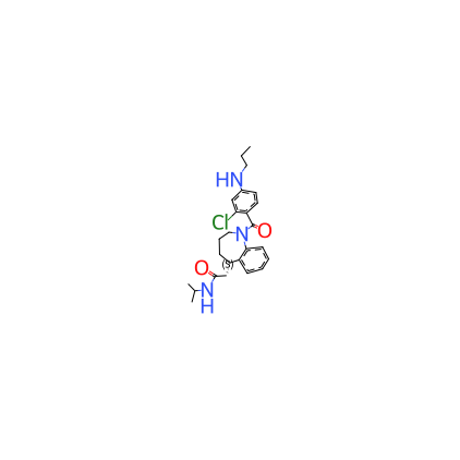 CCCNc1ccc(C(=O)N2CCC[C@@H](CC(=O)NC(C)C)c3ccccc32)c(Cl)c1